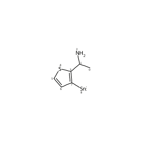 CC(N)c1scc[c]1[Sn]